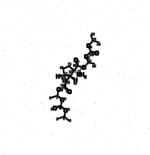 CC(C)OC(=O)OC(C)OC(=O)[C@H]1[C@@H]2CC[C@@](N)(C(=O)OC(C)OC(=O)OC(C)C)[C@@H]21